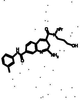 CCCN(CCCO)C(=O)C1=Cc2ccc(C(=O)Nc3cccc(C)c3)cc2N=C(N)C1